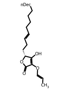 CC=COC1=C(O)[C@@H](CCC=CCCCCCCCCCCCCCC)OC1=O